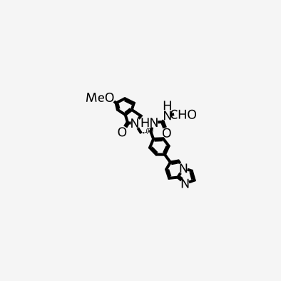 COc1ccc2c(c1)C(=O)N(C[C@H](NC(=O)NC=O)c1ccc(-c3ccc4nccn4c3)cc1)C2